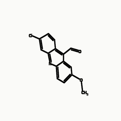 COc1ccc2nc3cc(Cl)ccc3c(C=O)c2c1